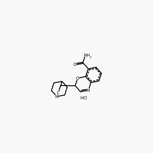 Cl.NC(=O)c1cccc2c1OC(C1CN3CCC1CC3)C=N2